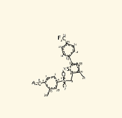 CC(=O)Oc1ccc(S(=O)(=O)Cc2sc(-c3ccc(C(F)(F)F)cc3)nc2C)cc1C